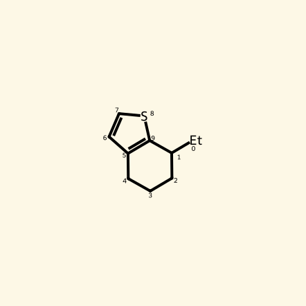 CCC1CCCc2ccsc21